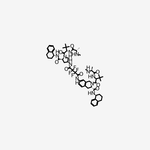 CN[C@@H](C)C(=O)NC(C(=O)N1Cc2cc(NC(=O)C(F)(F)C(F)(F)C(=O)N[C@H]3C[C@@H](C(=O)N[C@@H]4CCCc5ccccc54)N(C(=O)[C@@H](NC(=O)[C@H](C)NC)C(C)(C)C)C3)ccc2C[C@H]1C(=O)N[C@@H]1CCCc2ccccc21)C(C)(C)C